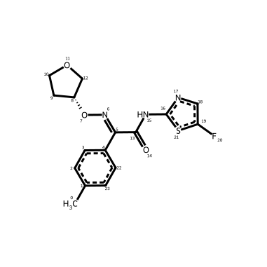 Cc1ccc(/C(=N\O[C@@H]2CCOC2)C(=O)Nc2ncc(F)s2)cc1